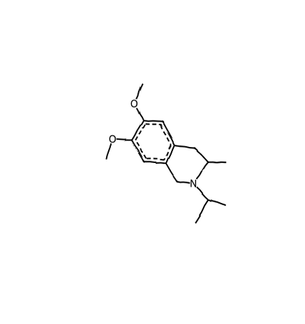 COc1cc2c(cc1OC)CN(C(C)C)C(C)C2